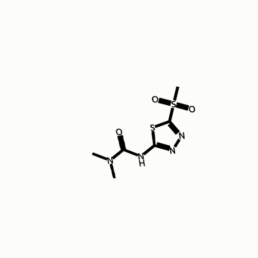 CN(C)C(=O)Nc1nnc(S(C)(=O)=O)s1